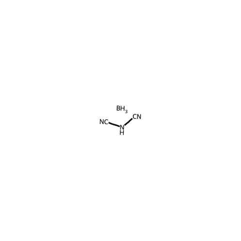 B.N#CNC#N